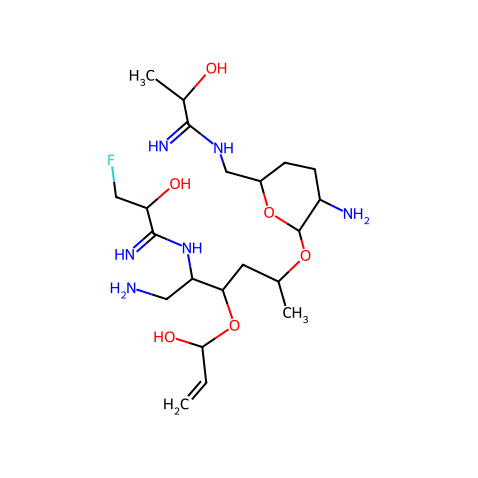 C=CC(O)OC(CC(C)OC1OC(CNC(=N)C(C)O)CCC1N)C(CN)NC(=N)C(O)CF